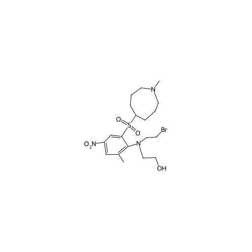 Cc1cc([N+](=O)[O-])cc(S(=O)(=O)C2CCCN(C)CCC2)c1N(CCO)CCBr